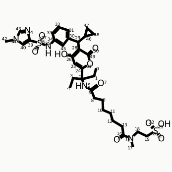 CCC(CC)(NC(=O)CCCCCCC(=O)N(C)CCS(=O)(=O)O)c1cc(O)c(C(c2cccc(NS(=O)(=O)c3cn(C)cn3)c2)C2CC2)c(=O)o1